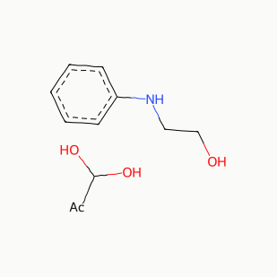 CC(=O)C(O)O.OCCNc1ccccc1